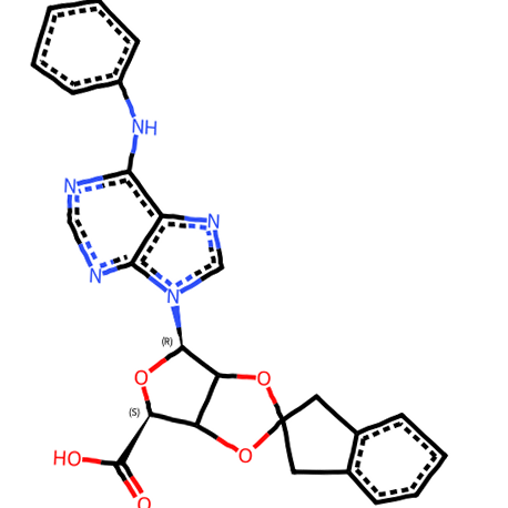 O=C(O)[C@H]1O[C@@H](n2cnc3c(Nc4ccccc4)ncnc32)C2OC3(Cc4ccccc4C3)OC21